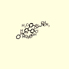 Cc1ccc(C(C)C)cc1-c1ccc(C(=O)NC2CCCCC2)nc1-c1ccc(Cl)c(OCCCN(C)C)c1.Cl.O=C(O)O